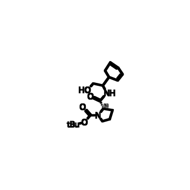 CC(C)(C)OC(=O)N1CCC[C@H]1C(=O)NC(CO)C1C=CC=CC1